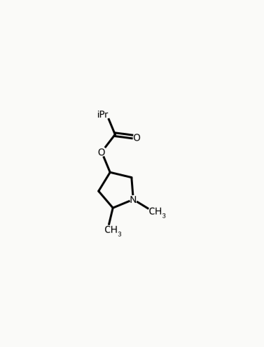 CC(C)C(=O)OC1CC(C)N(C)C1